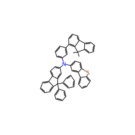 CC1(C)c2ccccc2-c2cccc(-c3cccc(N(c4ccc5c(c4)C(c4ccccc4)(c4ccccc4)c4ccccc4-5)c4ccc5sc6ccccc6c5c4)c3)c21